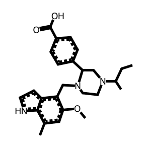 CCC(C)N1CCN(Cc2c(OC)cc(C)c3[nH]ccc23)C(c2ccc(C(=O)O)cc2)C1